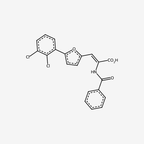 O=C(O)C(=Cc1ccc(-c2cccc(Cl)c2Cl)o1)NC(=O)c1ccccc1